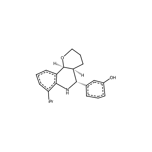 CC(C)c1cccc2c1N[C@@H](c1cccc(O)c1)[C@@H]1CCCO[C@H]21